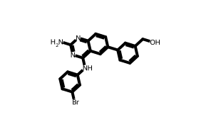 Nc1nc(Nc2cccc(Br)c2)c2cc(-c3cccc(CO)c3)ccc2n1